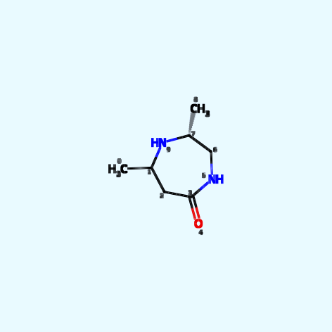 CC1CC(=O)NC[C@@H](C)N1